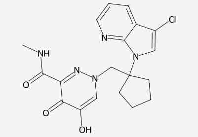 CNC(=O)c1nn(CC2(n3cc(Cl)c4cccnc43)CCCC2)cc(O)c1=O